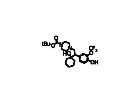 CC(C)(C)OC(=O)N1CCN(CC(c2ccc(O)c(OC(F)(F)F)c2)C2(O)CCCCC2)CC1